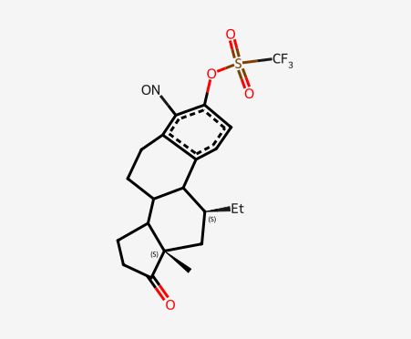 CC[C@H]1C[C@]2(C)C(=O)CCC2C2CCc3c(ccc(OS(=O)(=O)C(F)(F)F)c3N=O)C21